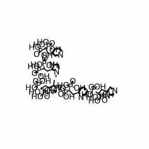 Cc1nc[nH]c1CC(O)(P(=O)(O)O)P(=O)(O)O.Cn1ccnc1CC(P(=O)(O)O)P(=O)(O)O.O=P(O)(O)C(Cc1ccccn1)P(=O)(O)O.O=P(O)(O)C(O)(Cc1cccnc1)P(=O)(O)O.O=P(O)(O)C(O)(Cc1cnc[nH]1)P(=O)(O)O